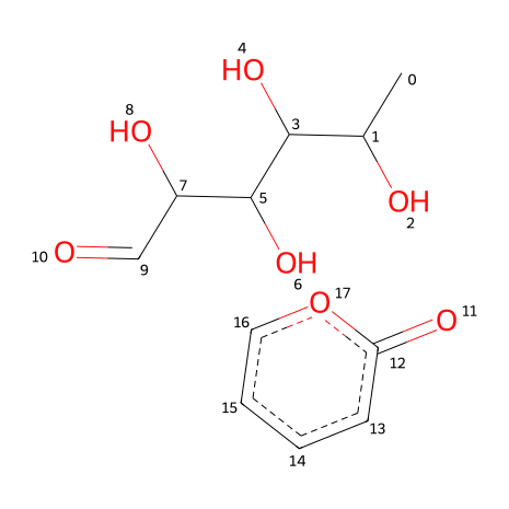 CC(O)C(O)C(O)C(O)C=O.O=c1cccco1